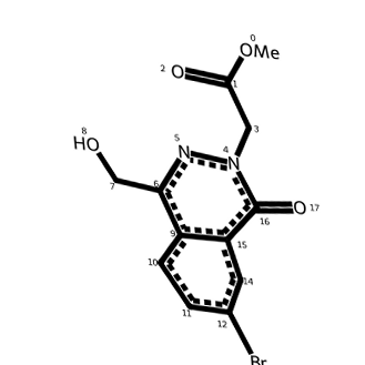 COC(=O)Cn1nc(CO)c2ccc(Br)cc2c1=O